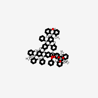 Cc1cccc(C)c1N(c1cc2c3c(c1)N(c1ccccc1)c1cc4c(cc1B3c1ccccc1O2)B1c2cc3c(cc2N(c2ccccc2)c2cc(N(c5c(C)cccc5C)c5c(C)cccc5C)cc(c21)O4)N(c1ccccc1)c1cc(N(c2c(C)cccc2C)c2c(C)cccc2C)cc2c1B3c1ccccc1N2c1ccccc1)c1c(C)cccc1C